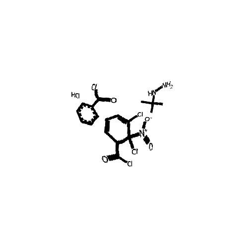 CC(C)(C)NN.Cl.O=C(Cl)C1C=CC=C(Cl)C1(Cl)[N+](=O)[O-].O=C(Cl)c1ccccc1